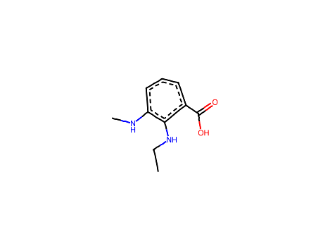 CCNc1c(NC)cccc1C(=O)O